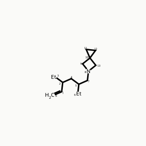 C=CC(CC)CC(CC)CN1CC2(CC2)C1